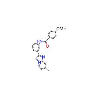 COc1ccc(C(=O)Nc2cccc(-c3cn4ccc(C)cc4n3)c2)cc1